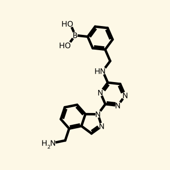 NCc1cccc2c1cnn2-c1nncc(NCc2cccc(B(O)O)c2)n1